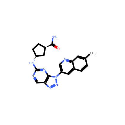 Cc1ccc2cc(-n3nnc4cnc(N[C@@H]5CC[C@@H](C(N)=O)C5)nc43)cnc2c1